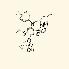 CCCCC1CN(c2ccc(F)cc2)c2cc(SCC)c(OCC3(C(=O)O)CC3)cc2S(=O)(=O)N1